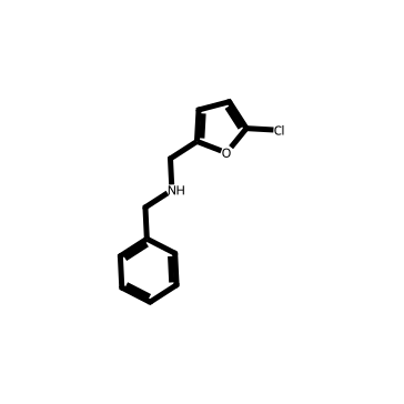 Clc1ccc(CNCc2ccccc2)o1